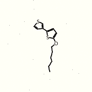 CCCCCCOc1ccc(-c2ccsc2)s1